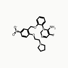 NC1=C(F)C=NCN1c1ccccc1OCc1cc([N+](=O)[O-])ccc1OCCN1CCCC1